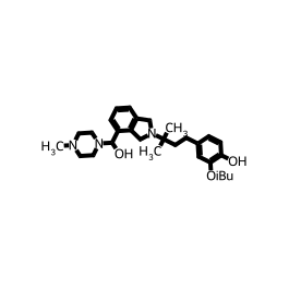 CC(C)COc1cc(CCC(C)(C)N2Cc3cccc(C(O)N4CCN(C)CC4)c3C2)ccc1O